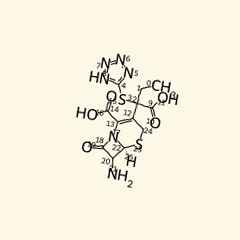 CCC(Sc1nnn[nH]1)(C(=O)O)C1=C(C(=O)O)N2C(=O)C(N)[C@@H]2SC1